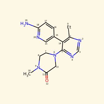 CCc1ncnc(N2CCN(C)C(=O)C2)c1-c1ccc(N)nc1